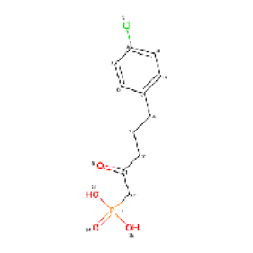 O=C(CCCc1ccc(Cl)cc1)CP(=O)(O)O